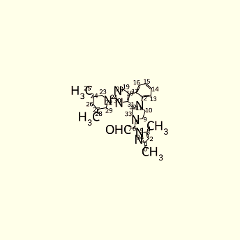 Cc1cc(C)n(C(C=O)N2CCN(c3ccccc3-c3cnc(N4CC(C)CC(C)C4)nc3)CC2)n1